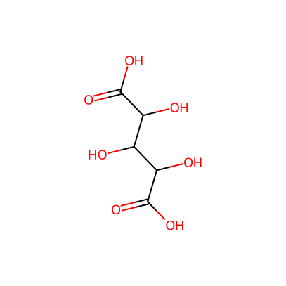 O=C(O)C(O)C(O)C(O)C(=O)O